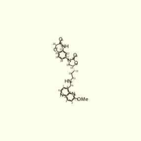 COc1ccc2nccc(CNCCC[C@@H]3CN(c4ccc5c(c4)NC(=O)CO5)C(=O)O3)c2n1